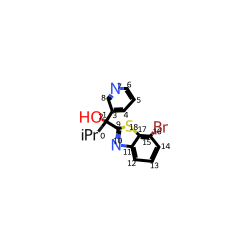 CC(C)C(O)(c1cccnc1)c1nc2cccc(Br)c2s1